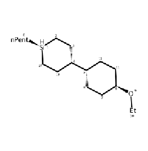 CCCCC[Si@H]1CC[C@H]([C@H]2CC[C@H](OCC)CC2)CC1